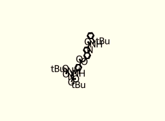 CC(C)(C)OC(=O)/N=C(/NC(=O)OC(C)(C)C)Nc1ccc(C(=O)Oc2ccc3nc(C(=O)N[C@@H](c4ccccc4)C(C)(C)C)ccc3c2)cc1